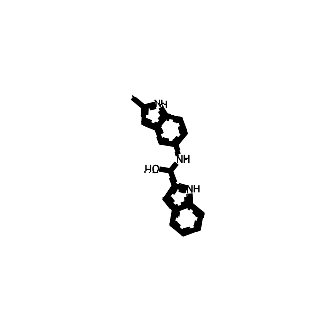 Cc1cc2cc(NC(O)c3cc4ccccc4[nH]3)ccc2[nH]1